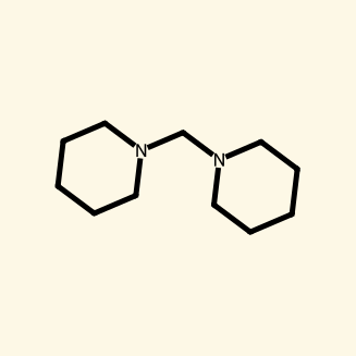 C1CCN(CN2CCCCC2)CC1